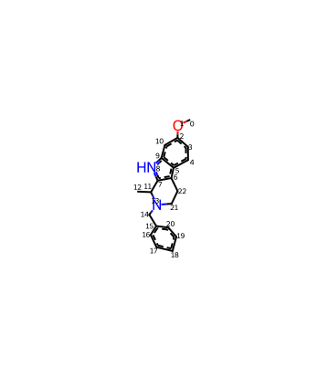 COc1ccc2c3c([nH]c2c1)C(C)N(Cc1ccccc1)CC3